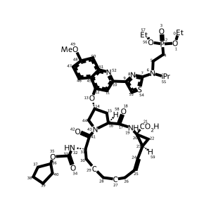 CCOP(=O)(CCN(c1nc(-c2cc(O[C@@H]3C[C@H]4C(=O)N[C@]5(C(=O)O)C[C@H]5/C=C\CCCCC[C@H](NC(=O)OC5CCCC5)C(=O)N4C3)c3ccc(OC)cc3n2)cs1)C(C)C)OCC